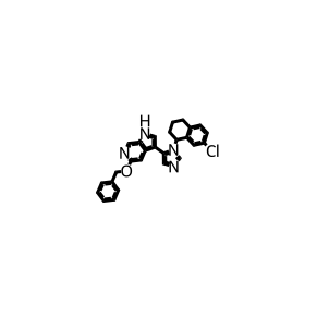 Clc1ccc2c(c1)C(n1cncc1-c1c[nH]c3cnc(OCc4ccccc4)cc13)CCC2